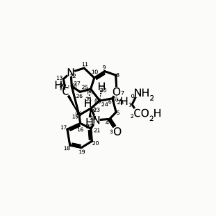 NCC(=O)O.O=C1C[C@@H]2OCC=C3CN4CC[C@]56c7ccccc7N1[C@H]5[C@H]2[C@H]3C[C@H]46